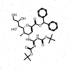 C[C@H]1[C@H]([C@H](O)[C@H](O)CO)OC(C(=O)OC(c2ccccc2)c2ccccc2)=C[C@@H]1N/C(=N\C(=O)OC(C)(C)C)NC(=O)OC(C)(C)C